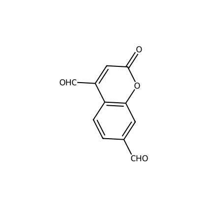 O=Cc1ccc2c(C=O)cc(=O)oc2c1